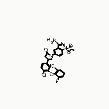 CS(=O)(=O)n1nc(N)c2cc(N3CC(c4ccc(Cl)c(Oc5c(F)cccc5C#N)c4)CC3=O)ccc21